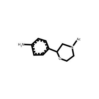 CC(=O)N1CCOC(c2ccc(N)cc2)C1